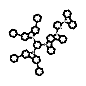 c1ccc(-c2ccc3c(c2)c2cc(-c4ccccc4)ccc2n3-c2cc(-n3c4ccc(-c5ccccc5)cc4c4cc(-c5ccccc5)ccc43)cc(-n3c4ccccc4c4c5c6ccccc6n(-c6cccc(-n7c8ccccc8c8ccccc87)n6)c5ccc43)c2)cc1